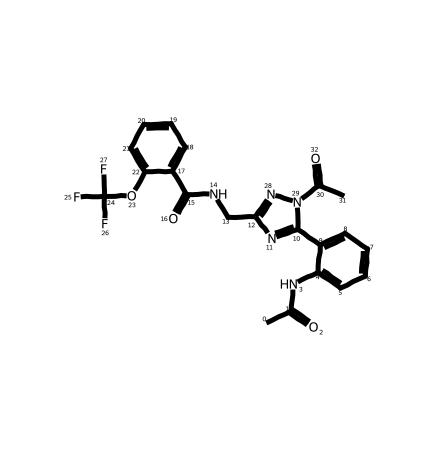 CC(=O)Nc1ccccc1-c1nc(CNC(=O)c2ccccc2OC(F)(F)F)nn1C(C)=O